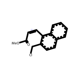 COC(=O)/C=C\c1c(CCl)ccc2ccccc12